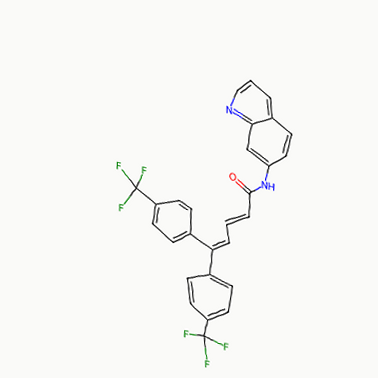 O=C(C=CC=C(c1ccc(C(F)(F)F)cc1)c1ccc(C(F)(F)F)cc1)Nc1ccc2cccnc2c1